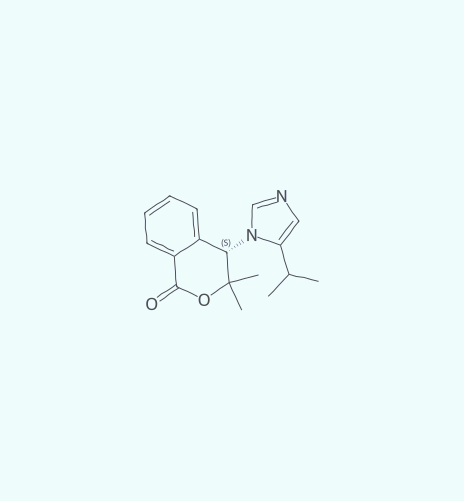 CC(C)c1cncn1[C@H]1c2ccccc2C(=O)OC1(C)C